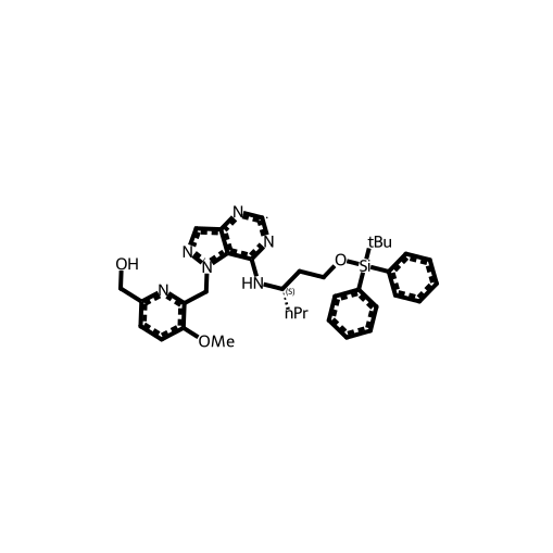 CCC[C@@H](CCO[Si](c1ccccc1)(c1ccccc1)C(C)(C)C)Nc1n[c]nc2cnn(Cc3nc(CO)ccc3OC)c12